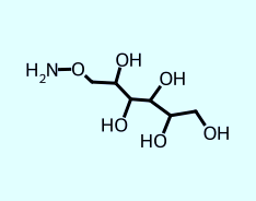 NOCC(O)C(O)C(O)C(O)CO